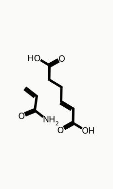 C=CC(N)=O.O=C(O)C=CCCC(=O)O